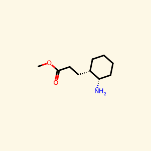 COC(=O)CC[C@@H]1CCCC[C@@H]1N